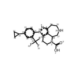 O=C(O)N1CCc2c3c(nn2-c2ccc(C4CC4)cc2C(F)(F)F)CCNCC31